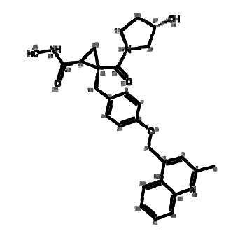 Cc1cc(COc2ccc(C[C@]3(C(=O)N4CC[C@H](O)C4)C[C@@H]3C(=O)NO)cc2)c2ccccc2n1